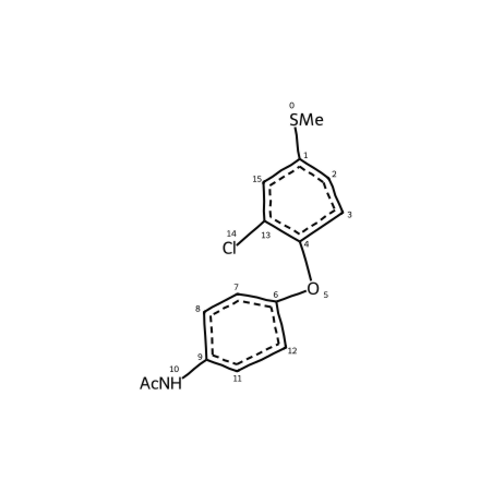 CSc1ccc(Oc2ccc(NC(C)=O)cc2)c(Cl)c1